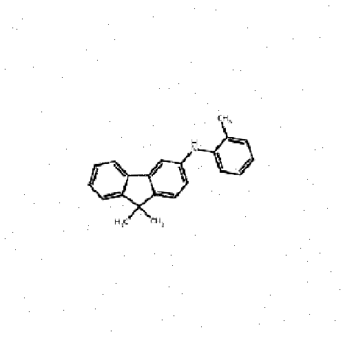 Cc1ccccc1Nc1ccc2c(c1)-c1ccccc1C2(C)C